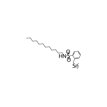 CCCCCCCCCCCCNS(=O)(=O)c1ccccc1[CH2][Sn]([CH3])([CH3])[CH3]